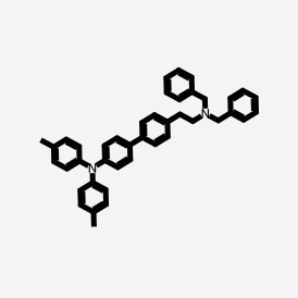 Cc1ccc(N(c2ccc(C)cc2)c2ccc(-c3ccc(CCN(Cc4ccccc4)Cc4ccccc4)cc3)cc2)cc1